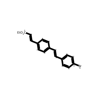 CCOC(=O)C=Cc1ccc(C=Cc2ccc(Br)cc2)cc1